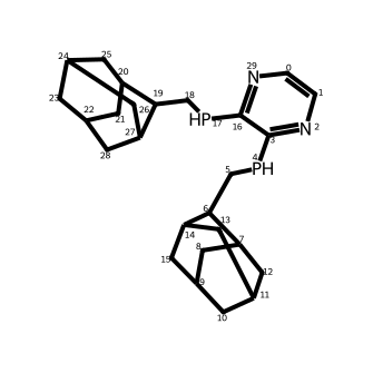 c1cnc(PCC2C3CC4CC(C3)CC2C4)c(PCC2C3CC4CC(C3)CC2C4)n1